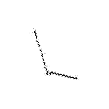 C=C[C@@H](N)CCCCNC(=O)COCCOCCNC(=O)COCCOCCNC(=O)CC[C@H](NC(=O)CCCCCCCCCCCCCCCCC(=O)O)C(=O)O